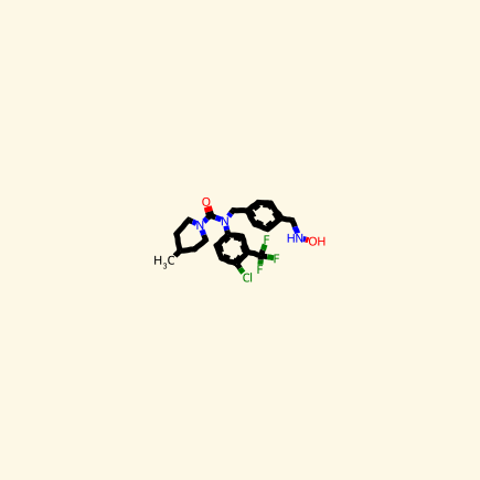 CC1CCN(C(=O)N(Cc2ccc(CNO)cc2)c2ccc(Cl)c(C(F)(F)F)c2)CC1